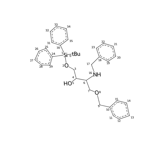 CC(C)(C)[Si](OCC(O)C(COCc1ccccc1)NCc1ccccc1)(c1ccccc1)c1ccccc1